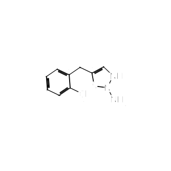 NN1NC=C(Cc2ccccc2Cl)S1